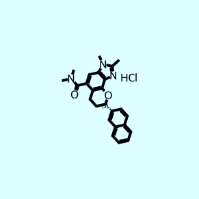 Cc1nc2c3c(c(C(=O)N(C)C)cc2n1C)CC[C@@H](c1ccc2ccccc2c1)O3.Cl